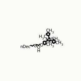 CCCCCCCCCCCCCOCC(O)COc1ccc(-c2nc(-c3ccc(C)cc3C)nc(-c3ccc(C)cc3C)n2)c(C)c1